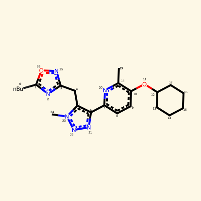 CCCCc1nc(Cc2c(-c3ccc(OC4CCCCC4)c(C)n3)nnn2C)no1